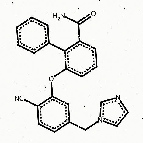 N#Cc1ccc(Cn2ccnc2)cc1Oc1cccc(C(N)=O)c1-c1ccccc1